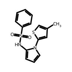 Cc1csc(-n2cccc2NS(=O)(=O)c2ccccc2)c1